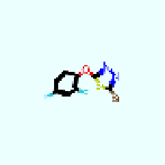 Fc1ccc(Oc2nnc(Br)s2)c(F)c1